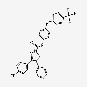 O=C(Nc1ccc(Oc2ccc(C(F)(F)F)cc2)cc1)N1CC(c2ccccc2)C(c2ccc(Cl)cc2)=N1